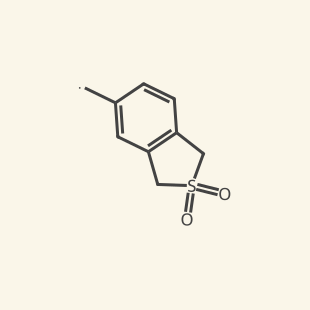 [CH2]c1ccc2c(c1)CS(=O)(=O)C2